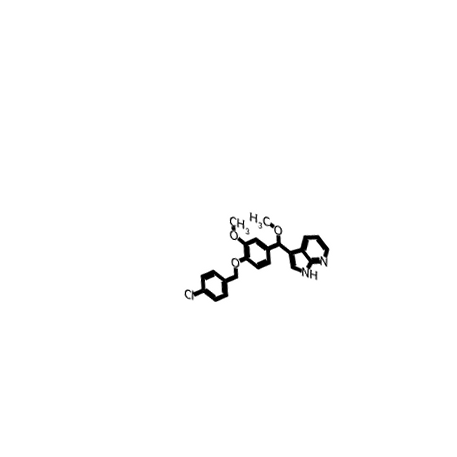 COc1cc(C(OC)c2c[nH]c3ncccc23)ccc1OCc1ccc(Cl)cc1